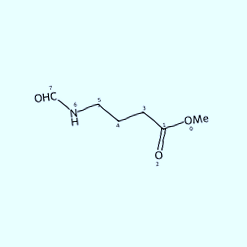 COC(=O)CC[CH]NC=O